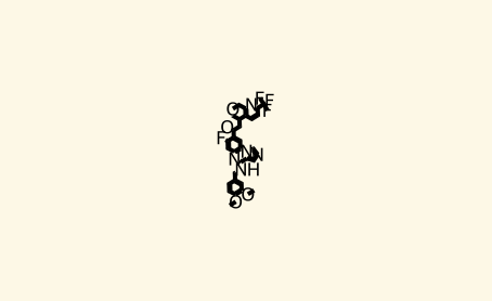 COc1ccc(CNc2nc3cc(F)c(C(=O)CC4COCc5nc(C(F)(F)F)ccc54)cc3n3cncc23)cc1OC